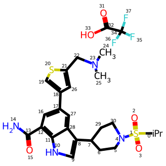 CC(C)S(=O)(=O)N1CCC(c2c[nH]c3c(C(N)=O)cc(-c4csc(CN(C)C)c4)cc23)CC1.O=C(O)C(F)(F)F